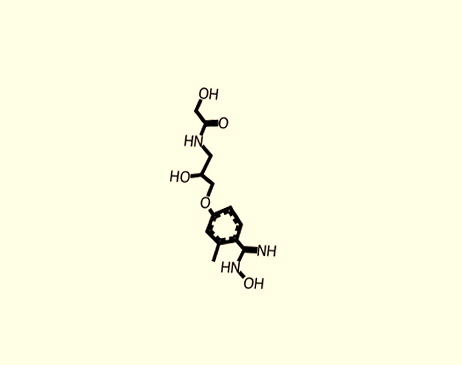 Cc1cc(OCC(O)CNC(=O)CO)ccc1C(=N)NO